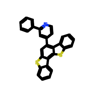 c1ccc(-c2cc(-c3cc4sc5ccccc5c4c4sc5ccccc5c34)ccn2)cc1